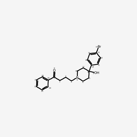 O=C(CCCN1CCC(O)(c2ccc(Br)cc2)CC1)c1ccccc1